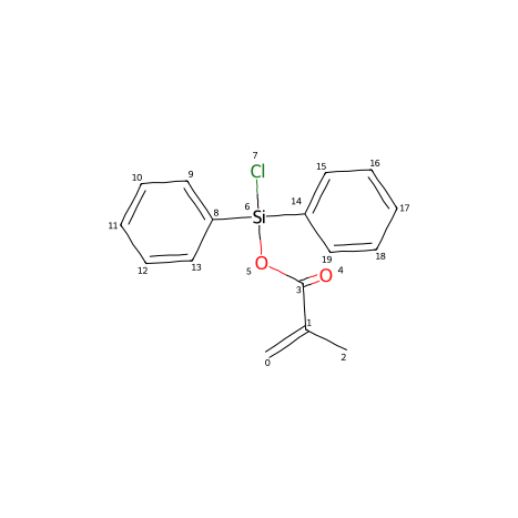 C=C(C)C(=O)O[Si](Cl)(c1ccccc1)c1ccccc1